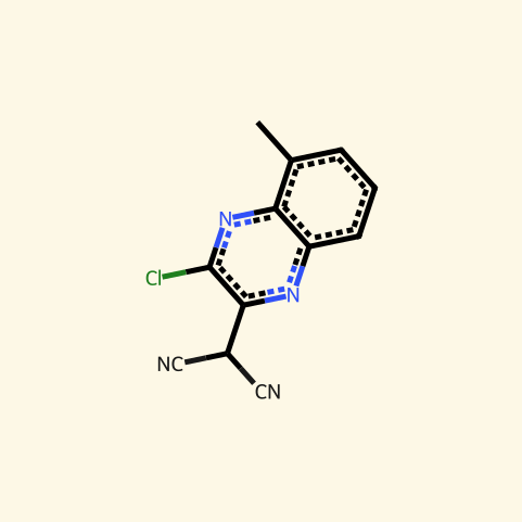 Cc1cccc2nc(C(C#N)C#N)c(Cl)nc12